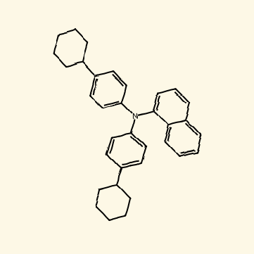 c1ccc2c(N(c3ccc(C4CCCCC4)cc3)c3ccc(C4CCCCC4)cc3)cccc2c1